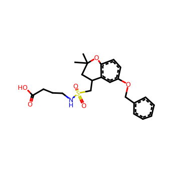 CC1(C)CC(CS(=O)(=O)NCCCC(=O)O)c2cc(OCc3ccccc3)ccc2O1